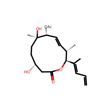 C=C/C=C(\C)[C@H]1OC(=O)C[C@H](O)CC[C@@](C)(O)[C@H](OC(C)=O)/C=C/[C@@H]1C